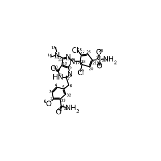 COc1ccc(Cc2nc3c(c(N(C)C)nn3-c3c(Cl)cc(S(N)(=O)=O)cc3Cl)c(=O)[nH]2)cc1C(N)=O